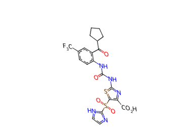 O=C(Nc1nc(C(=O)O)c(S(=O)(=O)c2ncc[nH]2)s1)Nc1ccc(C(F)(F)F)cc1C(=O)C1CCCC1